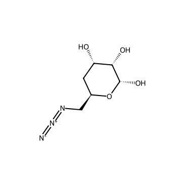 [N-]=[N+]=NC[C@H]1C[C@H](O)[C@H](O)[C@H](O)O1